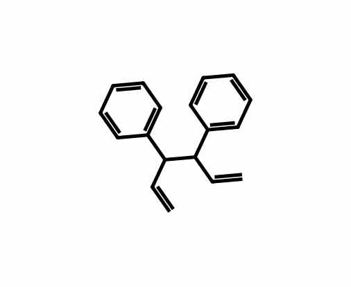 C=C[C](c1ccccc1)C(C=C)c1ccccc1